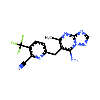 Cc1nc2ncnn2c(N)c1Cc1ccc(C(F)(F)F)c(C#N)n1